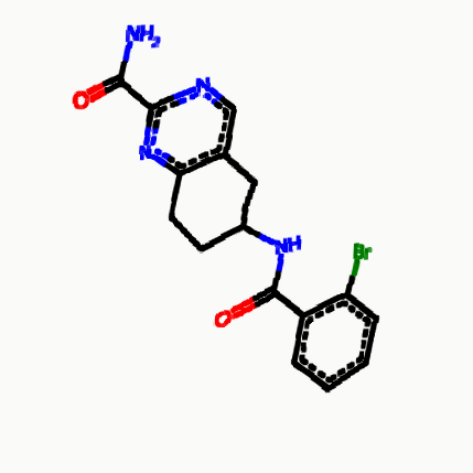 NC(=O)c1ncc2c(n1)CCC(NC(=O)c1ccccc1Br)C2